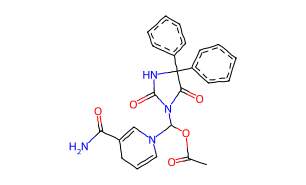 CC(=O)OC(N1C=CCC(C(N)=O)=C1)N1C(=O)NC(c2ccccc2)(c2ccccc2)C1=O